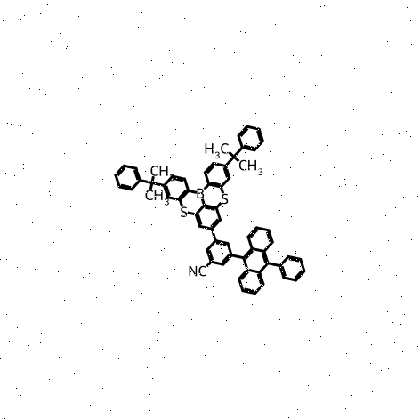 CC(C)(c1ccccc1)c1ccc2c(c1)Sc1cc(-c3cc(C#N)cc(-c4c5ccccc5c(-c5ccccc5)c5ccccc45)c3)cc3c1B2c1ccc(C(C)(C)c2ccccc2)cc1S3